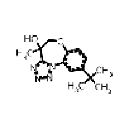 CC(C)(C)c1ccc2c(c1)-n1nnnc1C(C)(O)CO2